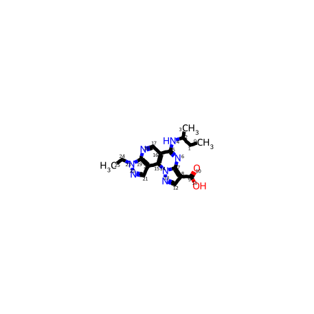 CCC(C)Nc1nc2c(C(=O)O)cnn2c2c1cnc1c2cnn1CC